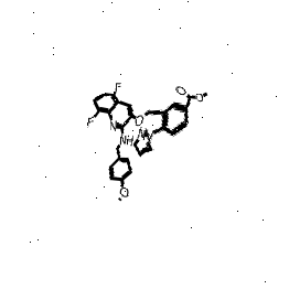 COC(=O)c1ccc(-n2cccn2)c(COc2cc3c(F)ccc(F)c3nc2NCc2ccc(OC)cc2)c1